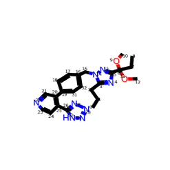 CCCc1nc(C(CC)(OC)OC)nn1Cc1ccc(-c2cnccc2-c2nnn[nH]2)cc1